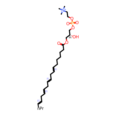 CCC/C=C/C/C=C/C/C=C/C/C=C/CCCCCC(=O)OC[C@@H](O)COP(=O)([O-])OCC[N+](C)(C)C